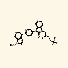 Cn1ncc2c(-c3ccc(-n4c(=O)n(CC(=O)NCC(F)(F)F)c5ccccc54)cn3)cncc21